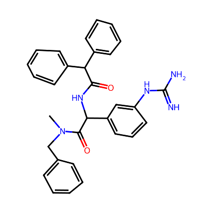 CN(Cc1ccccc1)C(=O)C(NC(=O)C(c1ccccc1)c1ccccc1)c1cccc(NC(=N)N)c1